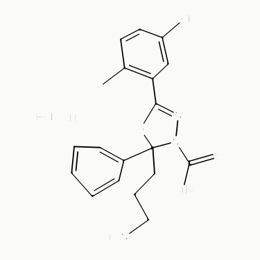 CC(C)(C)C(=O)N1N=C(c2cc(C(F)(F)F)ccc2F)OC1(CCCN)c1ccccc1.Cl.Cl